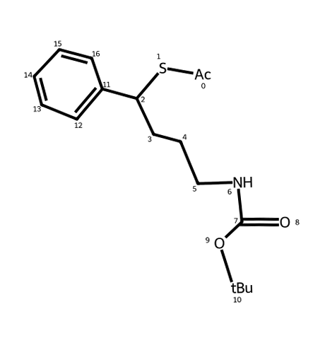 CC(=O)SC(CCCNC(=O)OC(C)(C)C)c1ccccc1